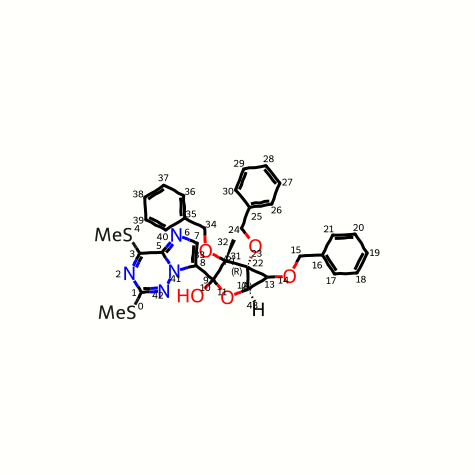 CSc1nc(SC)c2ncc(C3(O)O[C@@H]4C(OCc5ccccc5)[C@]4(OCc4ccccc4)[C@@]3(C)OCc3ccccc3)n2n1